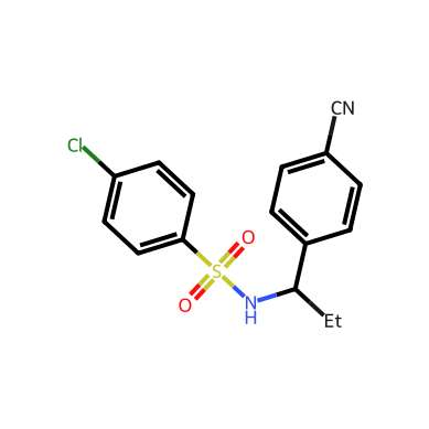 CCC(NS(=O)(=O)c1ccc(Cl)cc1)c1ccc(C#N)cc1